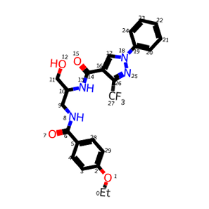 CCOc1ccc(C(=O)NCC(CO)NC(=O)c2cn(-c3ccccc3)nc2C(F)(F)F)cc1